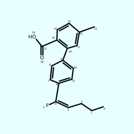 CCC/C=C(/F)c1ccc(-c2cc(C)ccc2C(=O)O)cc1